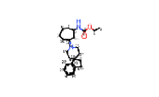 CCOC(=O)NC1CCCCC(N2CCC3(CCc4ccccc43)CC2)C1